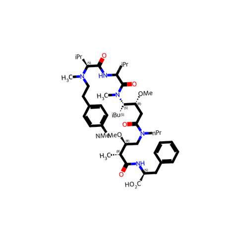 CCCN(C[C@H](OC)[C@@H](C)C(=O)N[C@@H](Cc1ccccc1)C(=O)O)C(=O)C[C@@H](OC)[C@H]([C@@H](C)CC)N(C)C(=O)C(NC(=O)[C@H](C(C)C)N(C)CCc1ccc(NC)cc1)C(C)C